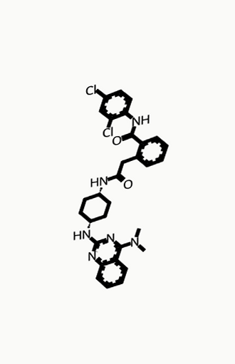 CN(C)c1nc(N[C@H]2CC[C@@H](NC(=O)Cc3ccccc3C(=O)Nc3ccc(Cl)cc3Cl)CC2)nc2ccccc12